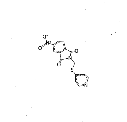 O=C1c2ccc([N+](=O)[O-])cc2C(=O)N1CSc1ccncc1